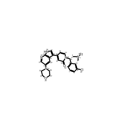 CCN(C)C[C@H](c1cccc(Cl)c1)n1ccc(-c2c[nH]c3ncc(N4CCOCC4)cc23)cc1=O